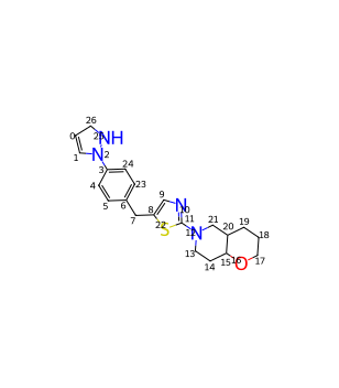 C1=CN(c2ccc(Cc3cnc(N4CCC5OCCCC5C4)s3)cc2)NC1